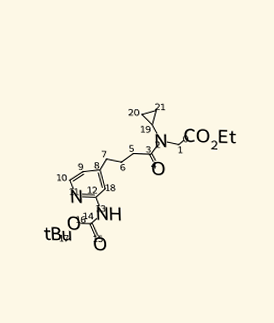 CCOC(=O)CN(C(=O)CCCc1ccnc(NC(=O)OC(C)(C)C)c1)C1CC1